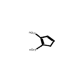 CCCCCCCCC1=C(CCCCCCCC)CC=C1